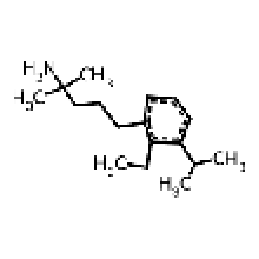 CCc1c(CCCC(C)(C)N)cccc1C(C)C